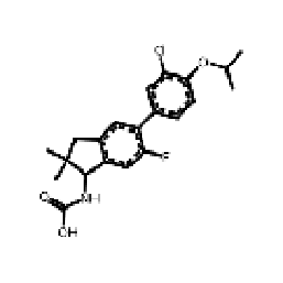 CC(C)Oc1ccc(-c2cc3c(cc2F)C(NC(=O)O)C(C)(C)C3)cc1Cl